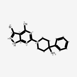 N#Cc1nc(N2CCC(N)(c3ccccc3)CC2)nc2[nH]nc(Br)c12